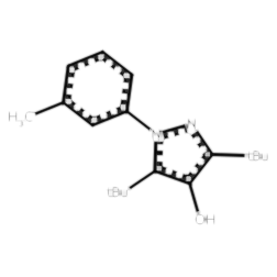 Cc1cccc(-n2nc(C(C)(C)C)c(O)c2C(C)(C)C)c1